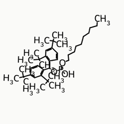 CCCCCCCCCCOP(O)OC(c1ccc(C(C)(C)C)cc1C(C)(C)C)c1ccc(C(C)(C)C)cc1C(C)(C)C